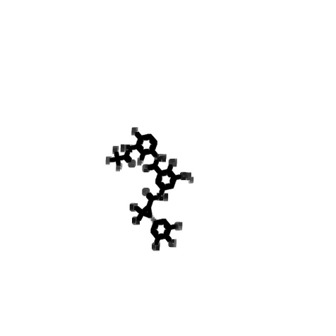 Cc1cc(NC(=O)C2[C@H](c3cc(Cl)c(Cl)c(Cl)c3)C2(Cl)Cl)cc(C(=O)Nc2ccc(F)c(NC(=O)C(F)(F)F)c2F)c1Cl